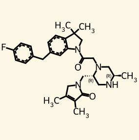 CC1=C(C)C(=O)N(C[C@H]2CN[C@H](C)CN2CC(=O)N2CC(C)(C)c3ccc(Cc4ccc(F)cc4)cc32)C1